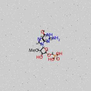 CO[C@@H]1C(O)[C@@H](OCP(=O)(O)O)O[C@H]1n1cnc2c(=O)[nH]c(N)nc21